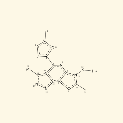 Cc1ccc(-c2nc3c(cc(C)n3SI)c3nnc(C(C)C)n23)o1